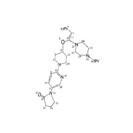 CCC/C=C(\OC1CCN(c2ccc(N3CCCC3=O)cn2)CC1)N1CCN(C(C)C)CC1